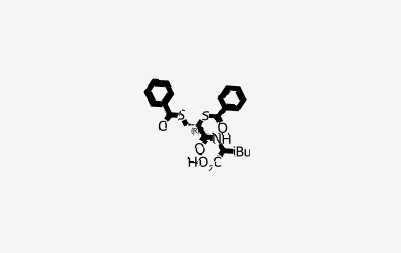 CCC(C)C(NC(=O)[C@H](CSC(=O)c1ccccc1)SC(=O)c1ccccc1)C(=O)O